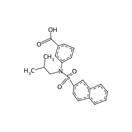 CC(C)CN(c1cccc(C(=O)O)c1)S(=O)(=O)c1ccc2ccccc2c1